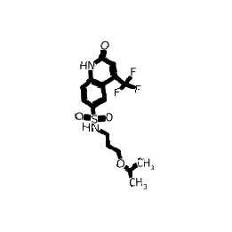 CC(C)OCCCNS(=O)(=O)c1ccc2[nH]c(=O)cc(C(F)(F)F)c2c1